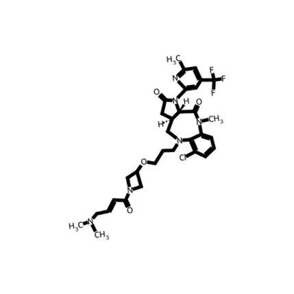 Cc1cc(C(F)(F)F)cc(N2C(=O)C[C@@H]3CN(CCCOC4CN(C(=O)/C=C/CN(C)C)C4)c4c(Cl)cccc4N(C)C(=O)[C@H]32)n1